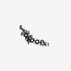 CCC1CCC(c2ccc(-c3cc(F)c(C(F)(F)Oc4cc(F)c(OCCCF)c(F)c4)c(F)c3)cc2)OC1